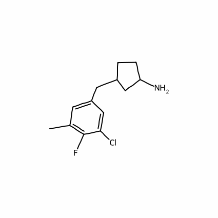 Cc1cc(CC2CCC(N)C2)cc(Cl)c1F